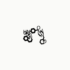 C[C@H]1CN(CC2CCCCO2)CCN1C(=O)c1ccc(NS(=O)(=O)c2cccc3cccnc23)cc1